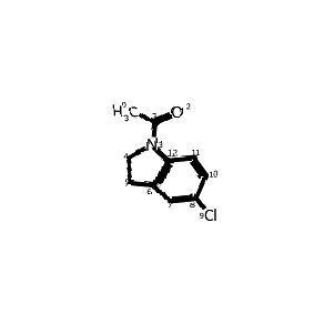 CC(=O)N1CCc2cc(Cl)ccc21